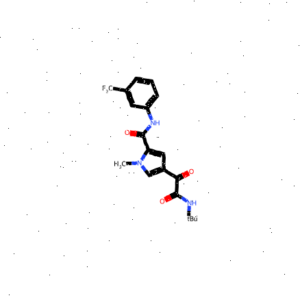 Cn1cc(C(=O)C(=O)NC(C)(C)C)cc1C(=O)Nc1cccc(C(F)(F)F)c1